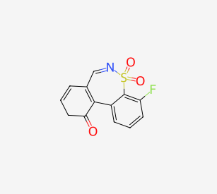 O=C1CC=CC2=C1c1cccc(F)c1S(=O)(=O)N=C2